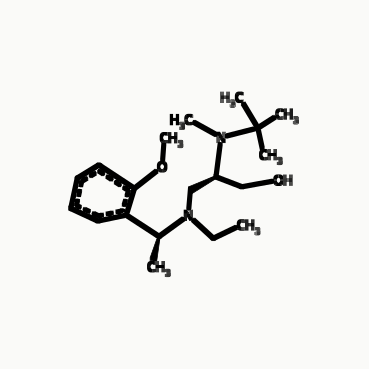 CCN(C[C@H](CO)N(C)C(C)(C)C)[C@@H](C)c1ccccc1OC